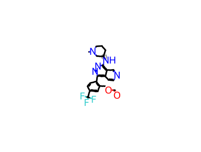 CN1CCC[C@@H](Nc2nnc(-c3ccc(C(F)(F)F)cc3COC=O)c3ccncc23)C1